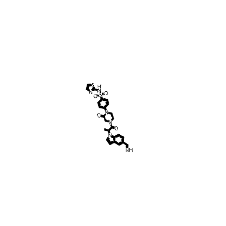 CC(C(=O)N1CCN(c2ccc(S(=O)(=O)Nc3nccs3)cc2)C(=O)C1)n1ccc2cc(C=N)ccc21